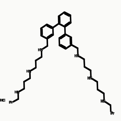 CC(C)CNCCCNCCCNCc1cccc(-c2ccccc2-c2cccc(CNCCCNCCCNCC(C)C)c2)c1.Cl